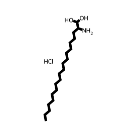 CCCCCCCCCCCCCCCCCCC(N)C(O)O.Cl